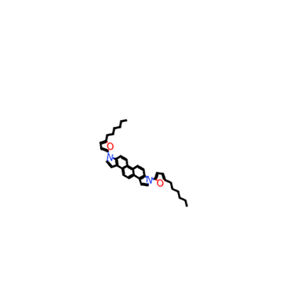 CCCCCCc1ccc(-n2ccc3c4ccc5c(ccc6c5ccn6-c5ccc(CCCCCC)o5)c4ccc32)o1